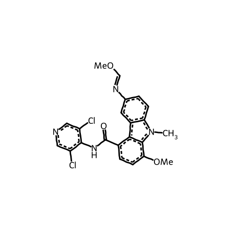 CO/C=N/c1ccc2c(c1)c1c(C(=O)Nc3c(Cl)cncc3Cl)ccc(OC)c1n2C